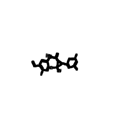 C=Cc1cc(NC(=C)C2C(c3cc(C)cc(C)c3)C2(Cl)Cl)ccc1C